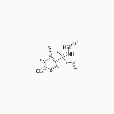 C=CCC(C)(N[SH]=O)c1ccc(Cl)nc1Cl